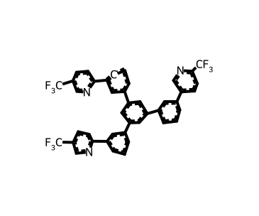 FC(F)(F)c1ccc(-c2cccc(-c3cc(-c4cccc(-c5ccc(C(F)(F)F)nc5)c4)cc(-c4cccc(-c5ccc(C(F)(F)F)cn5)c4)c3)c2)nc1